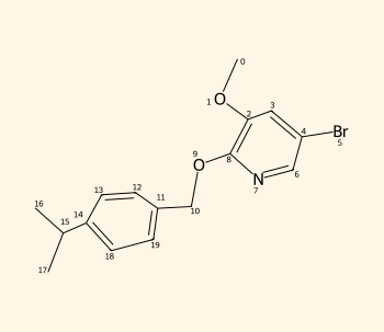 COc1cc(Br)cnc1OCc1ccc(C(C)C)cc1